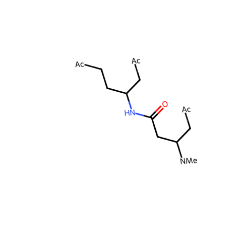 CNC(CC(C)=O)CC(=O)NC(CCC(C)=O)CC(C)=O